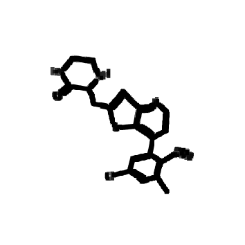 COc1c(C)cc(Cl)cc1-c1ccnc2cc(CC3NCCNC3=O)sc12